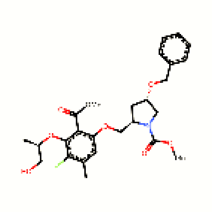 COC(=O)c1c(OC[C@H]2C[C@H](OCc3ccccc3)CN2C(=O)OC(C)(C)C)cc(C)c(F)c1O[C@H](C)CO